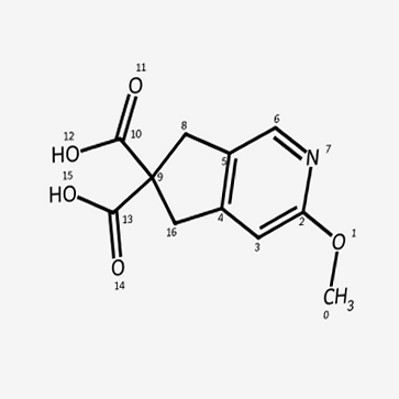 COc1cc2c(cn1)CC(C(=O)O)(C(=O)O)C2